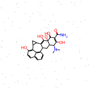 CN(C)[C@@H]1C(O)=C(C(N)=O)C(=O)[C@@]2(O)C(O)=C3C(CC12)c1cccc2ccc(O)c(c12)C1CC31